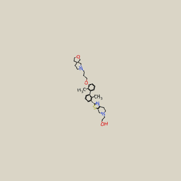 Cc1c(OCCCN2CCC3(CCOC3)C2)cccc1-c1cccc(-c2nc3c(s2)CN(CCO)CC3)c1C